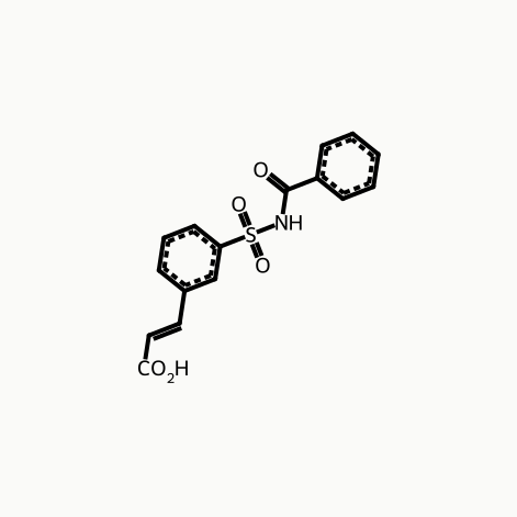 O=C(O)C=Cc1cccc(S(=O)(=O)NC(=O)c2ccccc2)c1